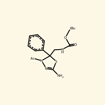 CC(=O)N1N=C(N)SC1(CNC(=O)OC(C)(C)C)c1ccccc1